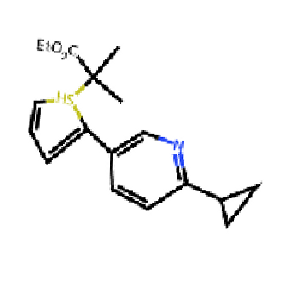 CCOC(=O)C(C)(C)[SH]1C=CC=C1c1ccc(C2CC2)nc1